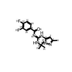 Cc1cc(N/C(=N\C(=O)c2ccc(F)c(F)c2)NC(C)(C)C)[nH]n1